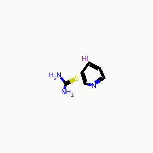 I.NC(N)=S.c1ccncc1